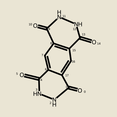 O=c1[nH][nH]c(=O)c2cc3c(=O)[nH][nH]c(=O)c3cc12